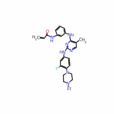 C=CC(=O)Nc1cccc(Nc2nc(Nc3ccc(N4CCN(CC)CC4)c(F)c3)ncc2C)c1